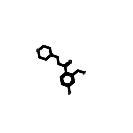 O=C(CCN1CCOCC1)c1ccc(F)cc1CF